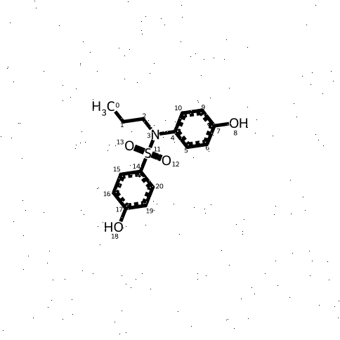 CCCN(c1ccc(O)cc1)S(=O)(=O)c1ccc(O)cc1